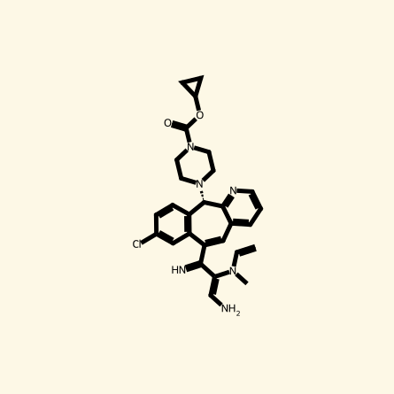 C=CN(C)/C(=C\N)C(=N)C1=Cc2cccnc2[C@@H](N2CCN(C(=O)OC3CC3)CC2)c2ccc(Cl)cc21